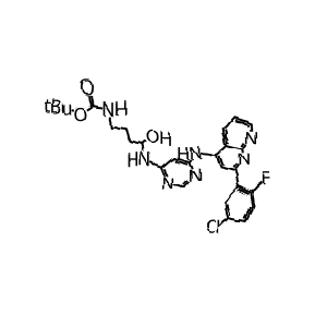 CC(C)(C)OC(=O)NCCCC(O)Nc1cc(Nc2cc(-c3cc(Cl)ccc3F)nc3ncccc23)ncn1